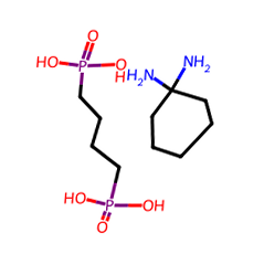 NC1(N)CCCCC1.O=P(O)(O)CCCCP(=O)(O)O